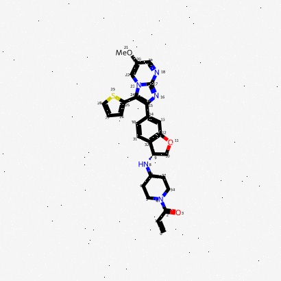 C=CC(=O)N1CCC(N[C@H]2COc3cc(-c4nc5ncc(OC)cn5c4-c4cccs4)ccc32)CC1